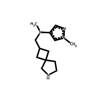 CN(CC1CC2(CCNC2)C1)c1cnn(C)c1